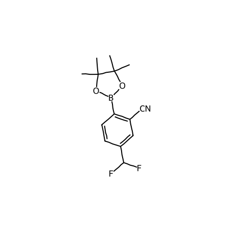 CC1(C)OB(c2ccc(C(F)F)cc2C#N)OC1(C)C